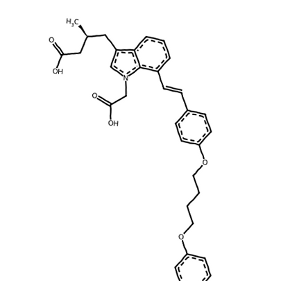 C[C@H](CC(=O)O)Cc1cn(CC(=O)O)c2c(C=Cc3ccc(OCCCCOc4ccccc4)cc3)cccc12